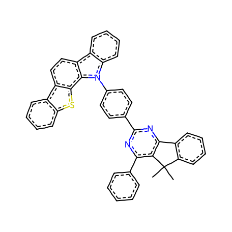 CC1(C)c2ccccc2-c2nc(-c3ccc(-n4c5ccccc5c5ccc6c7ccccc7sc6c54)cc3)nc(-c3ccccc3)c21